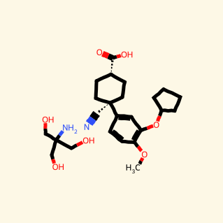 COc1ccc([C@]2(C#N)CC[C@@H](C(=O)O)CC2)cc1OC1CCCC1.NC(CO)(CO)CO